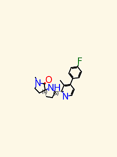 Cc1c(-c2ccc(F)cc2)ccnc1[C@@H]1CC[C@@]2(CCN(C)C2=O)N1